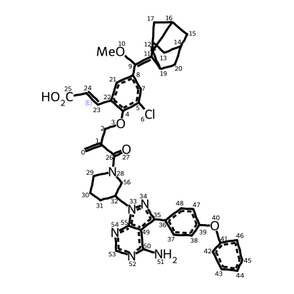 C=C(COc1c(Cl)cc(C(OC)=C2C3CC4CC(C3)CC2C4)cc1/C=C/C(=O)O)C(=O)N1CCCC(n2nc(-c3ccc(Oc4ccccc4)cc3)c3c(N)ncnc32)C1